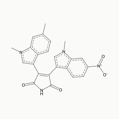 Cc1ccc2c(C3=C(c4cn(C)c5cc([N+](=O)[O-])ccc45)C(=O)NC3=O)cn(C)c2c1